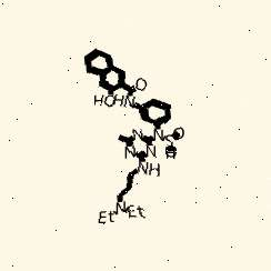 CCN(CC)CCCNc1nc(C)nc(N(c2cccc(NC(=O)c3cc4ccccc4cc3O)c2)[SH](=O)=O)n1